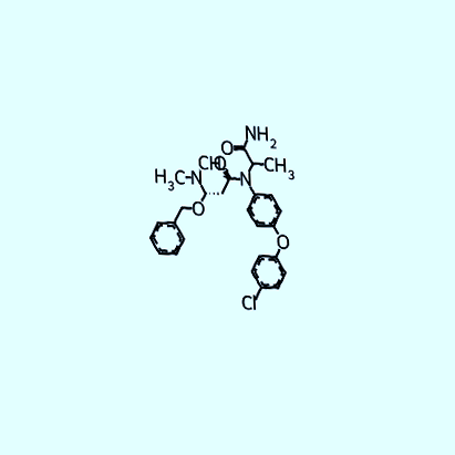 CC(C(N)=O)N(C(=O)C[C@H](OCc1ccccc1)N(C)C)c1ccc(Oc2ccc(Cl)cc2)cc1